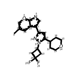 Cc1coc2ncc(-c3cc(C4CCOCC4)n(C4CC(F)(F)C4)n3)c-2c1